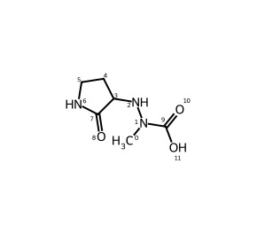 CN(NC1CCNC1=O)C(=O)O